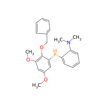 COc1cc(OC)c(OCc2ccccc2)c(Pc2ccccc2N(C)C)c1